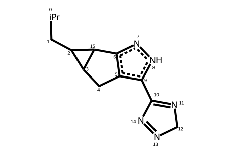 CC(C)CC1C2Cc3c(n[nH]c3C3=NCN=N3)C21